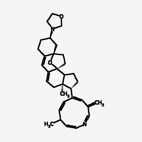 C=C1/C=N\C=C/C(C)/C=C\C([C@H]2CCC3[C@]2(C)CC=C2C=C4CC[C@@H](N5CCOC5)C[C@]45CC[C@@]23O5)=C/1